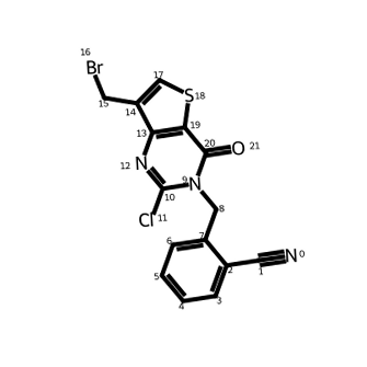 N#Cc1ccccc1Cn1c(Cl)nc2c(CBr)csc2c1=O